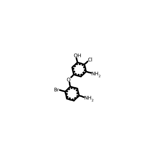 Nc1ccc(Br)c(Oc2cc(N)c(Cl)c(O)c2)c1